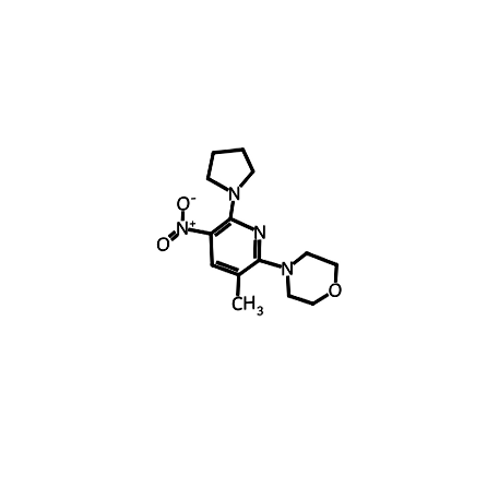 Cc1cc([N+](=O)[O-])c(N2CCCC2)nc1N1CCOCC1